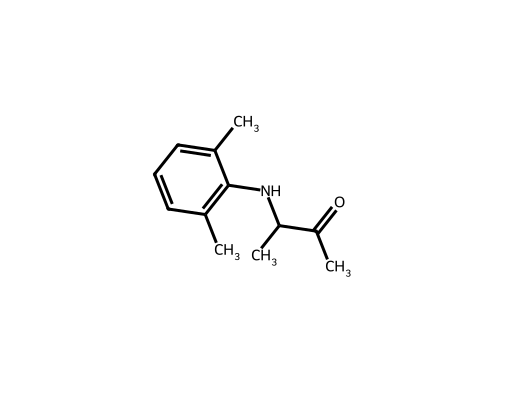 CC(=O)C(C)Nc1c(C)cccc1C